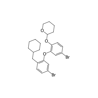 Brc1ccc(CC2CCCCC2)c(Oc2cc(Br)ccc2OC2CCCCO2)c1